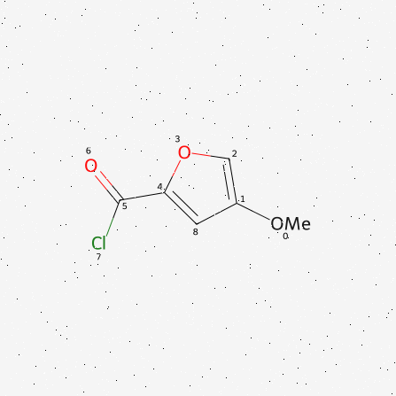 COc1coc(C(=O)Cl)c1